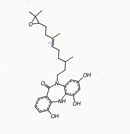 C/C(=C\CCC(C)CCN1C(=O)c2cccc(O)c2Nc2c(O)cc(O)cc21)CCC1OC1(C)C